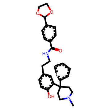 CN1CCC(c2ccccc2)(c2cc(CCNC(=O)c3ccc(C4OCCO4)cc3)ccc2O)CC1